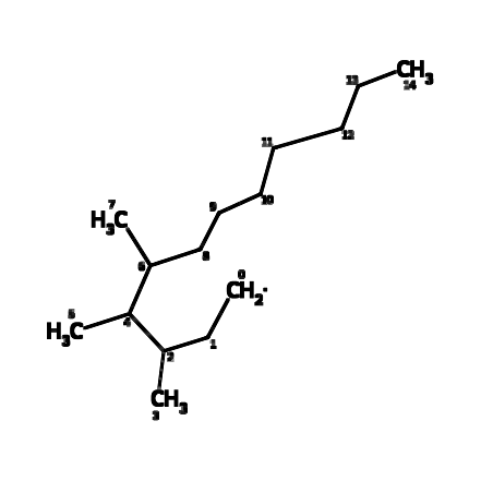 [CH2]CC(C)C(C)C(C)CCCCCCC